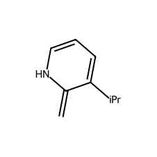 C=C1NC=CC=C1C(C)C